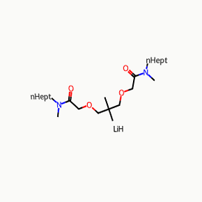 CCCCCCCN(C)C(=O)COCC(C)(C)COCC(=O)N(C)CCCCCCC.[LiH]